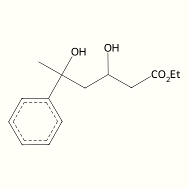 CCOC(=O)CC(O)CC(C)(O)c1ccccc1